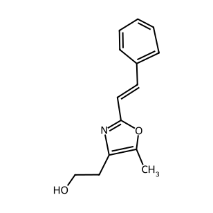 Cc1oc(/C=C/c2ccccc2)nc1CCO